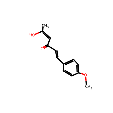 COc1ccc(C=CC(=O)C=C(C)O)cc1